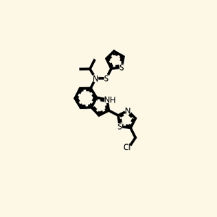 CC(C)N(Sc1cccs1)c1cccc2cc(-c3ncc(CCl)s3)[nH]c12